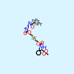 CCCC(CCC)C(=O)N(C)CCN(C)C(=O)OCCSSCCOC(=O)NCC1(CC2OC(C)O2)CCCCC1